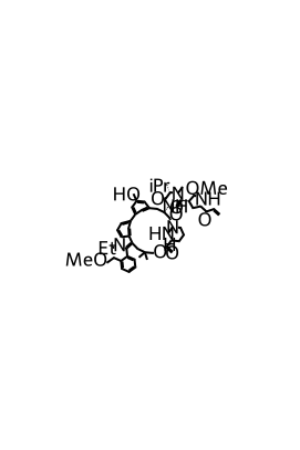 C=CC(=O)C1C[C@@H](C(=O)N(C)[C@H](C(=O)N[C@H]2Cc3cc(O)cc(c3)-c3ccc4c(c3)c(c(-c3ccccc3CCOC)n4CC)CC(C)(C)COC(=O)[C@@H]3CCCN(N3)C2=O)C(C)C)[C@@H](OC)N1